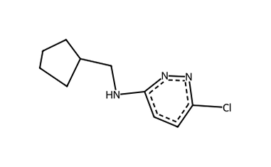 Clc1ccc(NCC2CCCC2)nn1